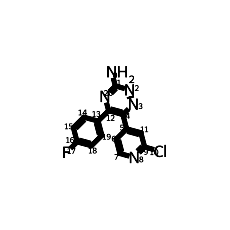 Nc1nnc(-c2ccnc(Cl)c2)c(-c2ccc(F)cc2)n1